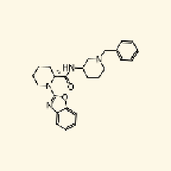 O=C(NC1CCCN(Cc2ccccc2)C1)[C@@H]1CCCCN1c1nc2ccccc2o1